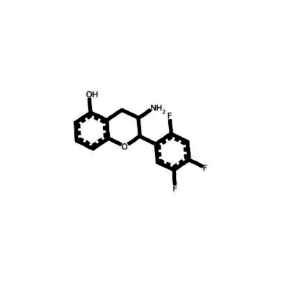 NC1Cc2c(O)cccc2OC1c1cc(F)c(F)cc1F